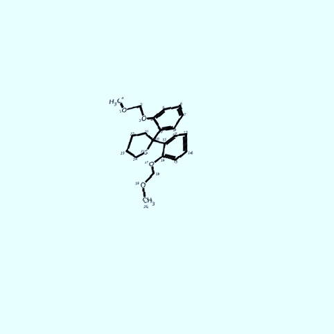 COCOc1ccccc1C1(c2ccccc2OCOC)CCCCS1